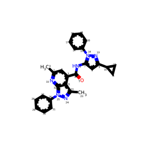 Cc1cc(C(=O)Nc2cc(C3CC3)nn2-c2ccccc2)c2c(C)nn(-c3ccccc3)c2n1